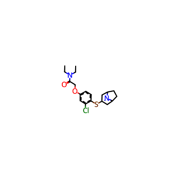 CCN(CC)C(=O)COc1ccc(SC2CC3CCC(C2)N3C)c(Cl)c1